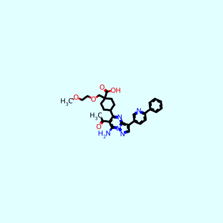 COCCOCC1(C(=O)O)CCC(c2nc3c(-c4ccc(-c5ccccc5)nc4)cnn3c(N)c2C(C)=O)CC1